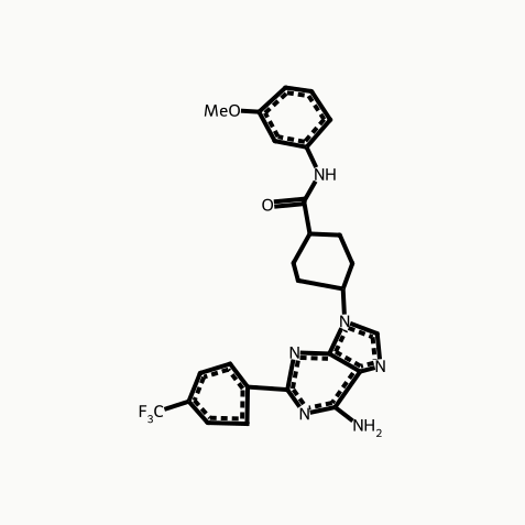 COc1cccc(NC(=O)C2CCC(n3cnc4c(N)nc(-c5ccc(C(F)(F)F)cc5)nc43)CC2)c1